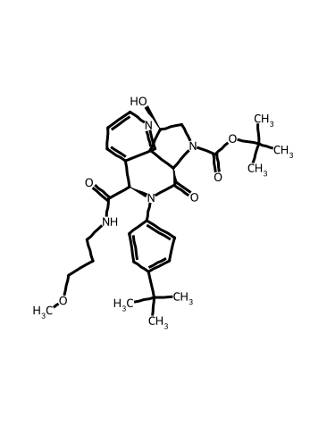 COCCCNC(=O)[C@@H](c1cccnc1)N(C(=O)[C@H]1C[C@@H](O)CN1C(=O)OC(C)(C)C)c1ccc(C(C)(C)C)cc1